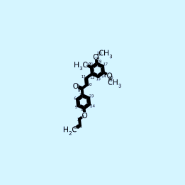 C=CCOc1ccc(C(=O)/C=C/c2cc(OC)cc(OC)c2C)cc1